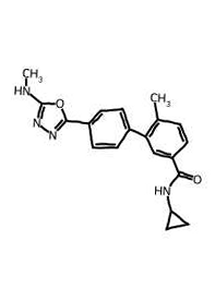 CNc1nnc(-c2ccc(-c3cc(C(=O)NC4CC4)ccc3C)cc2)o1